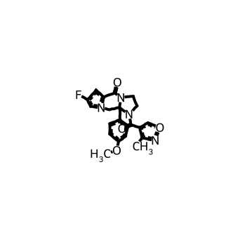 COc1ccc(C23Cn4cc(F)cc4C(=O)N2CCN3C(=O)c2conc2C)cc1